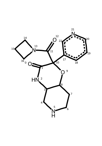 O=C1NC2CNCCC2OC1(C(=O)N1CCC1)c1cccnc1